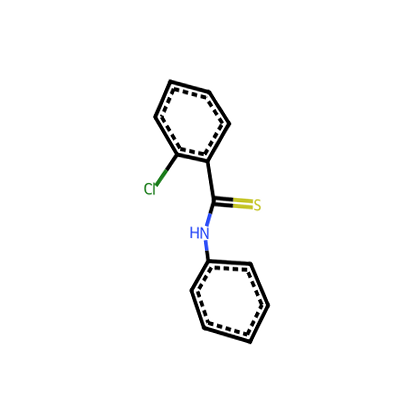 S=C(Nc1ccccc1)c1ccccc1Cl